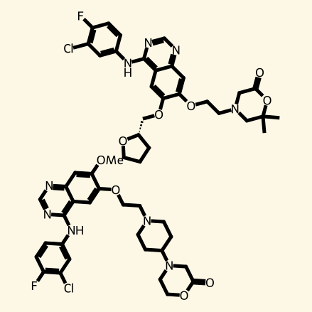 CC1(C)CN(CCOc2cc3ncnc(Nc4ccc(F)c(Cl)c4)c3cc2OC[C@@H]2CCCO2)CC(=O)O1.COc1cc2ncnc(Nc3ccc(F)c(Cl)c3)c2cc1OCCN1CCC(N2CCOC(=O)C2)CC1